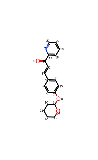 O=C(C=Cc1ccc(OC2CCCCO2)cc1)c1ccccn1